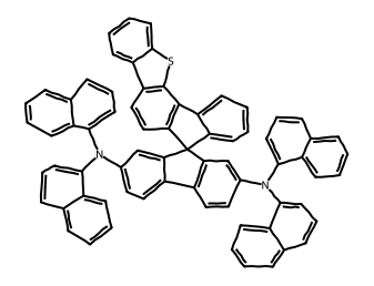 c1ccc2c(c1)-c1c(ccc3c1sc1ccccc13)C21c2cc(N(c3cccc4ccccc34)c3cccc4ccccc34)ccc2-c2ccc(N(c3cccc4ccccc34)c3cccc4ccccc34)cc21